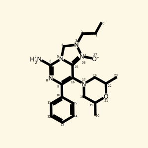 CCCN1CN2C(N)=NC(c3ccccc3)=C(N3CC(C)OC(C)C3)C2=[N+]1[O-]